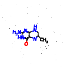 CC1=Nc2c(nc(N)[nH]c2=O)NC1